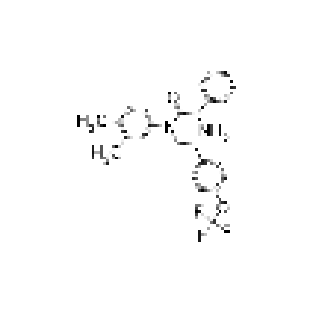 Cc1ccc(N(CCc2ccc(OC(F)(F)F)cc2)C(=O)C(N)c2ccccc2)cc1C